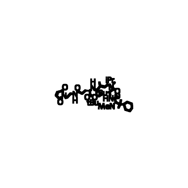 CN[C@H](C(=O)N[C@H](C(=O)N(C)[C@H](/C=C(\C)C(=O)N[C@H](CCC(=O)NCCN1C(=O)C=CC1=O)C(=O)OC(C)(C)C)C(C)C)C(C)(C)C)C(C)(C)C1CCCCC1